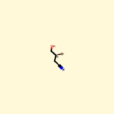 N#CC[C@H](Br)CO